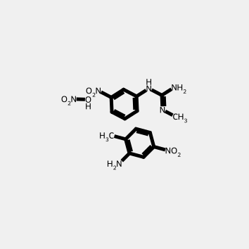 CN=C(N)Nc1cccc([N+](=O)[O-])c1.Cc1ccc([N+](=O)[O-])cc1N.O=[N+]([O-])O